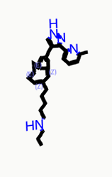 CCCNCCCCCC1=C/C=C/C=c2\ccc(-c3c[nH]nc3-c3cccc(C)n3)c\c2=C\1